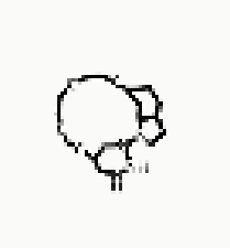 C1CCCCC2CCC3CCN(C3C2)N2CC(CCCC1)CNN2